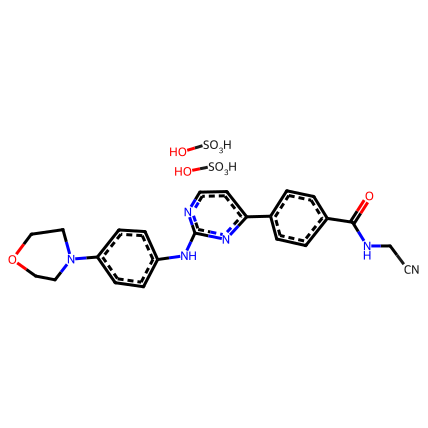 N#CCNC(=O)c1ccc(-c2ccnc(Nc3ccc(N4CCOCC4)cc3)n2)cc1.O=S(=O)(O)O.O=S(=O)(O)O